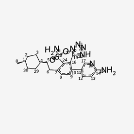 C[C@H]1CC[C@@H](CCc2ccc(-c3ccc(N)nc3)c(-c3nnn[nH]3)c2S(N)(=O)=O)CC1